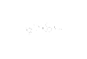 COC(=O)c1ccc(N)c(N(C)C(=O)CN2CCC(c3cccc(Cl)n3)CC2)c1